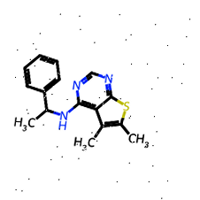 Cc1sc2ncnc(NC(C)c3ccccc3)c2c1C